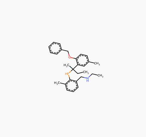 CCNCc1cccc(C)c1PC(C)(CC)c1cc(C)ccc1OCc1ccccc1